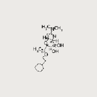 C[C@H](OCCC1CCCCC1)[C@H]1O[C@@H]2SC(N(C)C)=N[C@@H]2[C@@H](O)[C@@H]1O